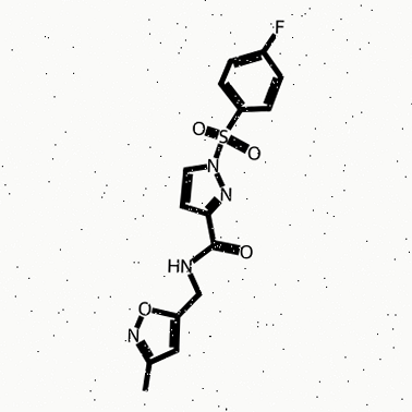 Cc1cc(CNC(=O)c2ccn(S(=O)(=O)c3ccc(F)cc3)n2)on1